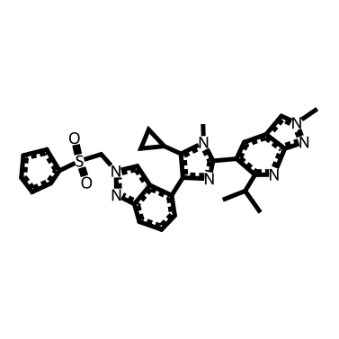 CC(C)c1nc2nn(C)cc2cc1-c1nc(-c2cccc3nn(CS(=O)(=O)c4ccccc4)cc23)c(C2CC2)n1C